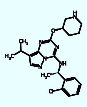 CC(C)c1cnn2c(N[C@@H](C)c3ccccc3Cl)nc(O[C@@H]3CCCNC3)nc12